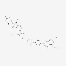 COc1cc(OC)c2c(=O)[nH]c(-c3ccc(N4CCC(CN5CC(C)N(c6ccc7c(c6)C(=O)N(C6CCC(=O)NC6=O)C7=O)C(C)C5)CC4)cc3)nc2c1